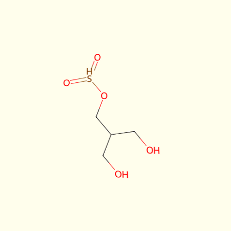 O=[SH](=O)OCC(CO)CO